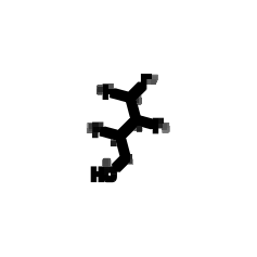 OCC(F)C(F)C(F)F